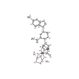 CC(C)Nc1cc(-c2ccc3cc(C#N)cnn23)ncc1-c1nnc(N2C[C@H]3CC[C@@H](C2)C3N2CCOC2=O)s1